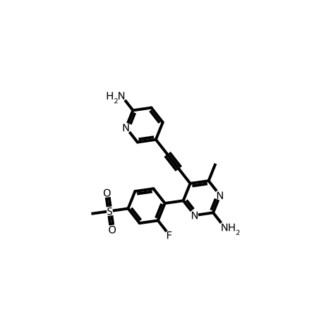 Cc1nc(N)nc(-c2ccc(S(C)(=O)=O)cc2F)c1C#Cc1ccc(N)nc1